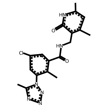 Cc1cc(C)c(CNC(=O)c2cc(Cl)cc(-n3nnnc3C)c2C)c(=O)[nH]1